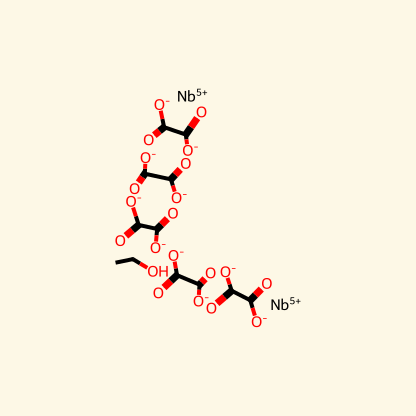 CCO.O=C([O-])C(=O)[O-].O=C([O-])C(=O)[O-].O=C([O-])C(=O)[O-].O=C([O-])C(=O)[O-].O=C([O-])C(=O)[O-].[Nb+5].[Nb+5]